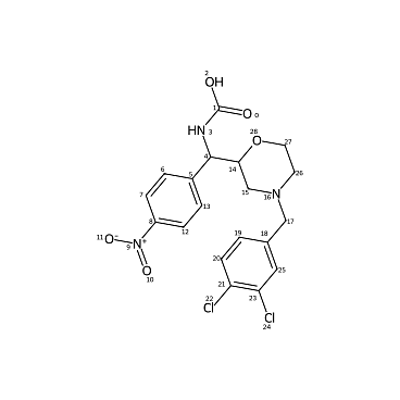 O=C(O)NC(c1ccc([N+](=O)[O-])cc1)C1CN(Cc2ccc(Cl)c(Cl)c2)CCO1